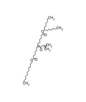 CCCCCCCCCCCOC(=O)CCCCCN(CCCCCC(=O)OC(CCCCCC)CCCCCC)C(=O)CN(C)C